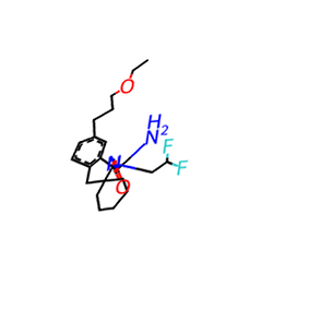 CCOCCCc1ccc2c(c1)C1(N=C(N)N(CC(F)F)C1=O)C1(CCCCC1)C2